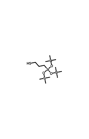 C[Si](C)(C)O[Si](CCCS)(O[Si](C)(C)C)O[Si](C)(C)C